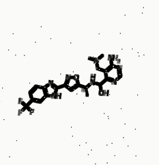 C[C@H](NC(O)c1ncnc(N)c1CN(C)C)c1cc(-c2nc3ccc(C(F)(F)F)cc3[nH]2)no1